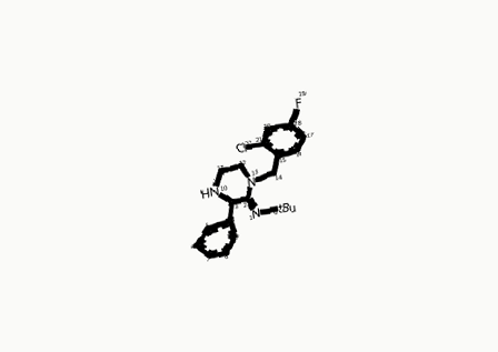 CC(C)(C)/N=C1/C(c2ccccc2)NCCN1Cc1ccc(F)cc1Cl